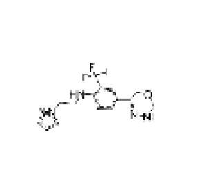 FC(F)(F)c1cc(C2=NNCOC2)ccc1NCCn1cccn1